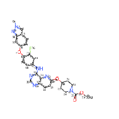 Cn1cc2ccc(Oc3ccc(Nc4ncnc5ccc(OC6CCN(C(=O)OC(C)(C)C)CC6)nc45)cc3F)cc2n1